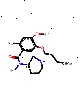 COCCCOc1cc(C(=O)N(C(C)C)[C@@H]2CCCNC2)c(C#N)cc1OC(C)C